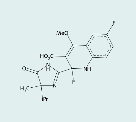 COC1=C(C(=O)O)C(F)(C2=NC(C)(C(C)C)C(=O)N2)Nc2ccc(F)cc21